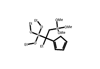 CCO[Si](OCC)(OCC)C(CC)(C[Si](OC)(OC)OC)C1=CC=CC1